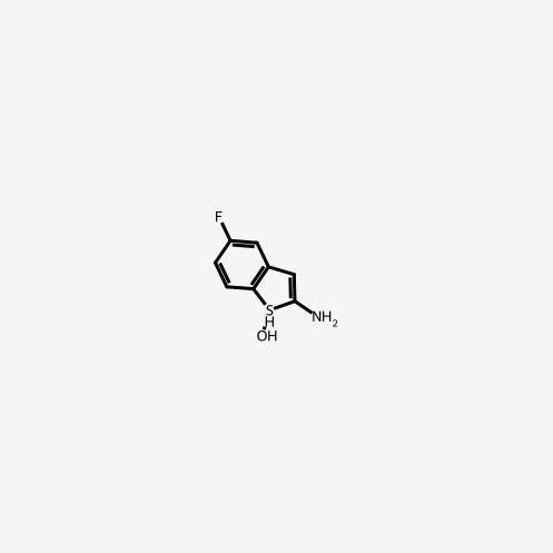 NC1=Cc2cc(F)ccc2[SH]1O